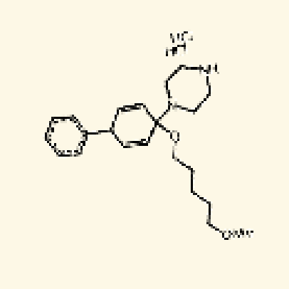 COCCCCCOC1(N2CCNCC2)C=CC(c2ccccc2)C=C1.Cl.Cl